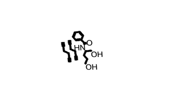 C#CCCC#C.C#CCCC#C.O=C(NC(CO)CCCO)c1ccccc1